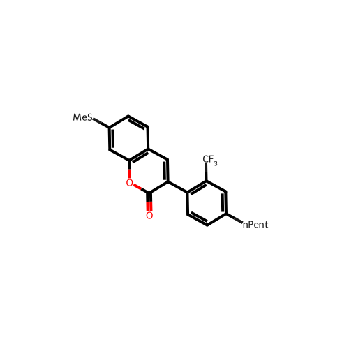 CCCCCc1ccc(-c2cc3ccc(SC)cc3oc2=O)c(C(F)(F)F)c1